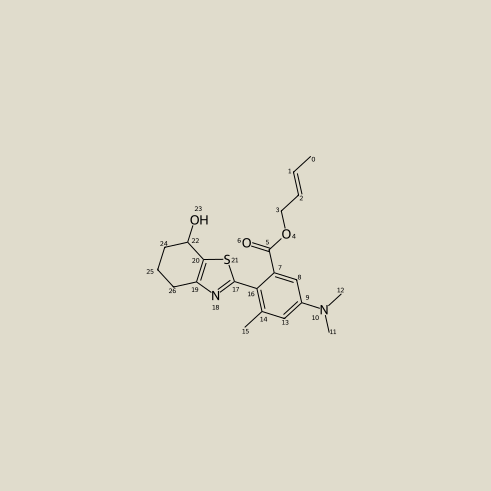 CC=CCOC(=O)c1cc(N(C)C)cc(C)c1-c1nc2c(s1)C(O)CCC2